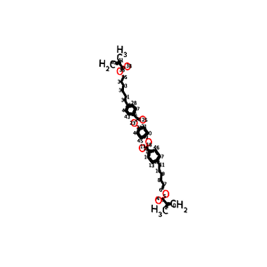 C=C(C)C(=O)OCCCCCCc1ccc(C(=O)Oc2ccc(OC(=O)c3ccc(CCCCCCOC(=O)C(=C)C)cc3)cc2)cc1